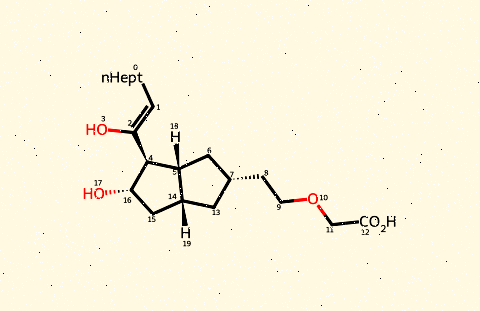 CCCCCCCC=C(O)[C@H]1[C@@H]2C[C@H](CCOCC(=O)O)C[C@@H]2C[C@@H]1O